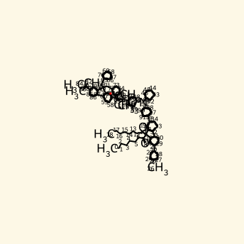 CCCCCCCC(=O)C1(C(=O)CCCCCCC)c2cc(-c3ccc(C)cc3)ccc2-c2ccc(-c3ccc(N(c4ccccc4)c4ccc(C(C)(C)C(C)(C)c5ccc6c(c5)C(Cc5ccccc5)(Cc5ccccc5)c5cc(C(C)(C)C)ccc5-6)cc4)cc3)cc21